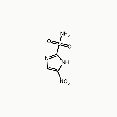 NS(=O)(=O)c1ncc([N+](=O)[O-])[nH]1